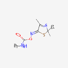 CCC1(C)N=C(C)C(=NOC(=O)NC(C)C)S1